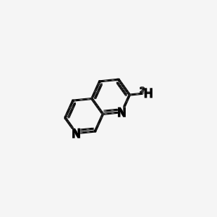 [2H]c1ccc2ccncc2n1